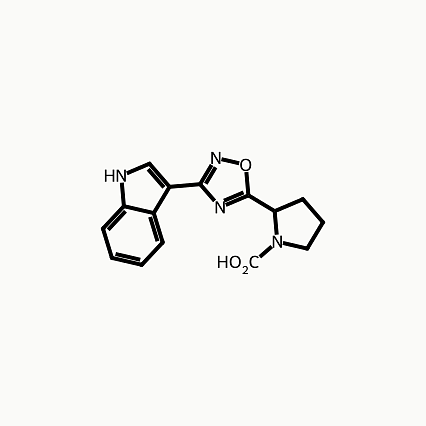 O=C(O)N1CCCC1c1nc(-c2c[nH]c3ccccc23)no1